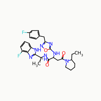 CCC1CCCCN1C(=O)CC(Nc1nc(Cc2ccc(F)cc2)no1)C(=O)N[C@@H](C)c1nc2c(F)cccc2[nH]1